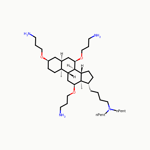 CCCCCN(CCCCC)CCCC[C@H]1CC[C@H]2[C@@H]3[C@H](OCCCN)C[C@@H]4C[C@H](OCCCN)CC[C@]4(C)[C@H]3C[C@H](OCCCN)[C@]12C